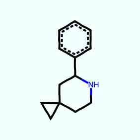 c1ccc(C2CC3(CCN2)CC3)cc1